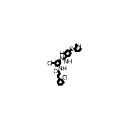 Cc1ncccc1Oc1ccc(C(=N)Nc2cc(Cl)cc(NC(=O)/C=C/c3ccccc3Cl)c2)cc1